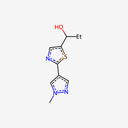 CCC(O)c1cnc(-c2cnn(C)c2)s1